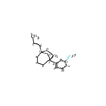 CCCC12CCCC(c3cccc(F)c3)(CC1)C2